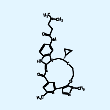 Cc1cc2cc(n1)-c1cnn(C)c1OCCC[C@@H](C1CC1)CN1/C(=N/C2=O)Nc2ccc(NC(=O)CCN(C)C)cc21